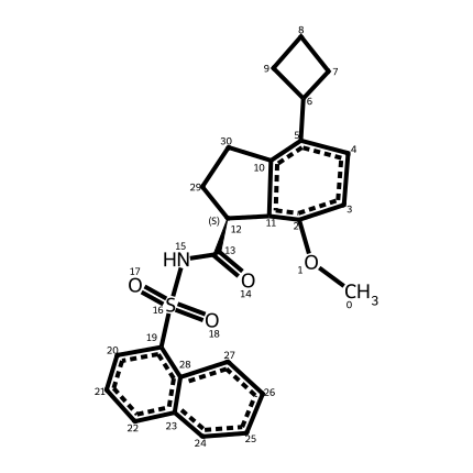 COc1ccc(C2CCC2)c2c1[C@@H](C(=O)NS(=O)(=O)c1cccc3ccccc13)CC2